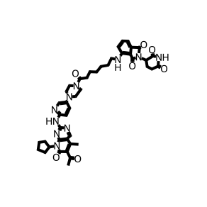 CC(=O)c1c(C)c2cnc(Nc3ccc(N4CCN(C(=O)CCCCCCNc5cccc6c5C(=O)N(C5CCC(=O)NC5=O)C6=O)CC4)cn3)nc2n(C2CCCC2)c1=O